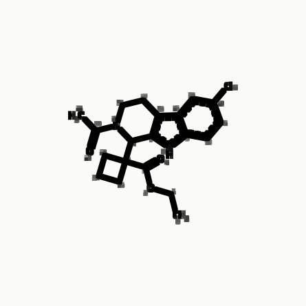 CCOC(=O)C1(C2c3[nH]c4ccc(Cl)cc4c3CCN2C(C)=O)CCC1